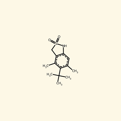 Cc1cc2c(c(C)c1C(C)(C)C)CS(=O)(=O)N2